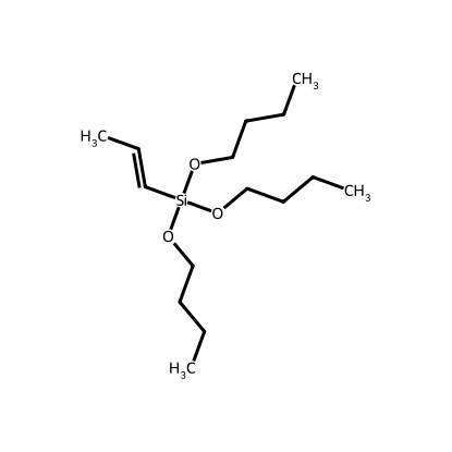 CC=C[Si](OCCCC)(OCCCC)OCCCC